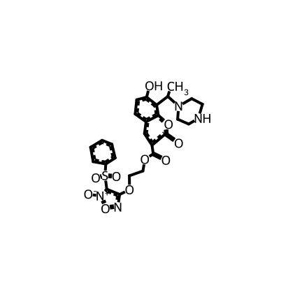 CC(c1c(O)ccc2cc(C(=O)OCCOc3no[n+]([O-])c3S(=O)(=O)c3ccccc3)c(=O)oc12)N1CCNCC1